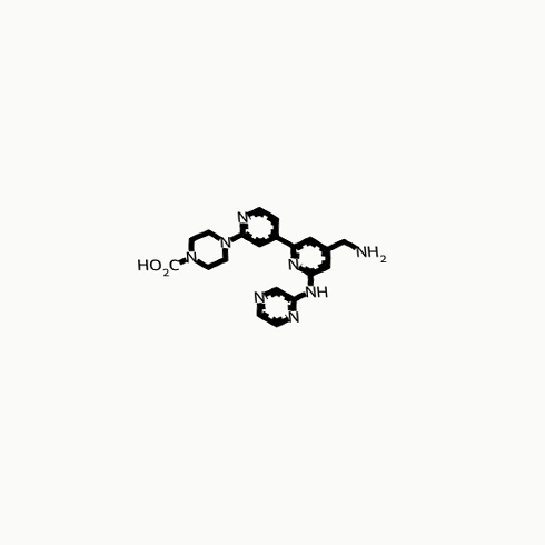 NCc1cc(Nc2cnccn2)nc(-c2ccnc(N3CCN(C(=O)O)CC3)c2)c1